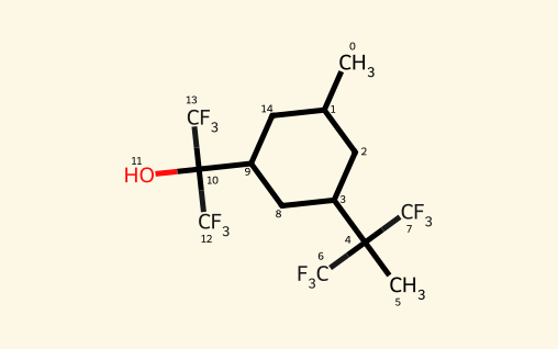 CC1CC(C(C)(C(F)(F)F)C(F)(F)F)CC(C(O)(C(F)(F)F)C(F)(F)F)C1